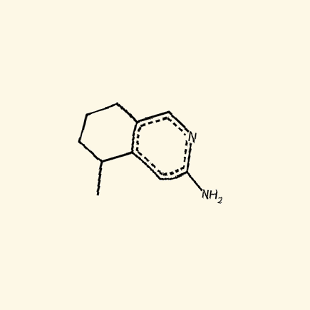 CC1CCCc2cnc(N)cc21